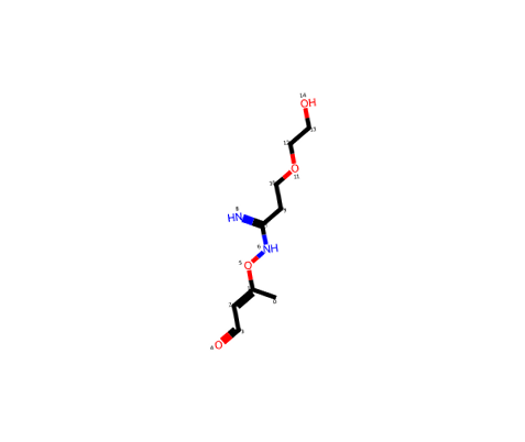 C/C(=C\C=O)ONC(=N)CCOCCO